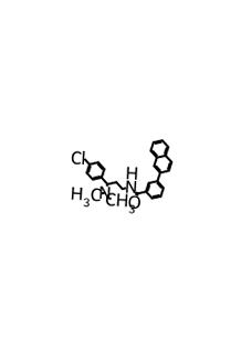 CN(C)C(CCNC(=O)c1cccc(-c2ccc3ccccc3c2)c1)c1ccc(Cl)cc1